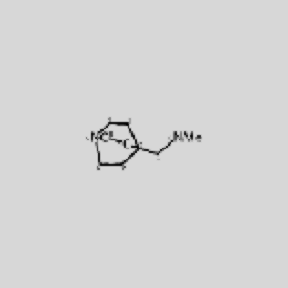 CNCC12CCN(CC1)CC2